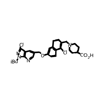 CCC(C)n1nc(Cl)c2cc(COc3ccc4c(c3)CCC(CN3CCC(C(=O)O)CC3)=C4Cl)cnc21